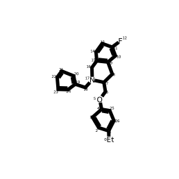 CCc1ccc(OCC2Cc3cc(F)ccc3CN2Cc2ccccc2)cc1